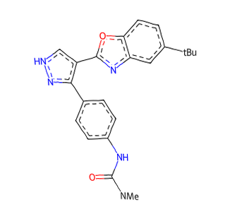 CNC(=O)Nc1ccc(-c2n[nH]cc2-c2nc3cc(C(C)(C)C)ccc3o2)cc1